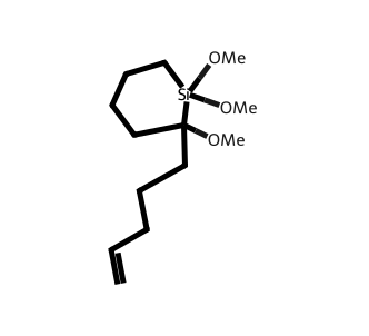 C=CCCCC1(OC)CCCC[Si]1(OC)OC